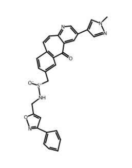 Cn1cc(-c2cnc3ccc4ccc(C[S+]([O-])NCc5cc(-c6ccccc6)no5)cc4c(=O)c3c2)cn1